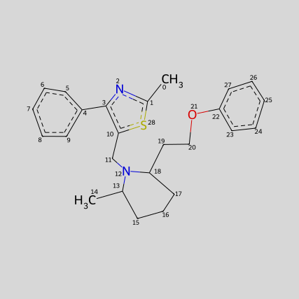 Cc1nc(-c2ccccc2)c(CN2C(C)CCCC2CCOc2ccccc2)s1